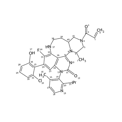 C=CC(=O)N1CC(C)N2c3nc(=O)n(-c4c(C)ccnc4C(C)C)c4cc(-c5c(O)cccc5Cl)c(F)c(c34)NCCC2C1